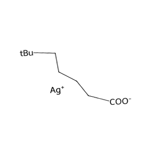 CC(C)(C)CCCCC(=O)[O-].[Ag+]